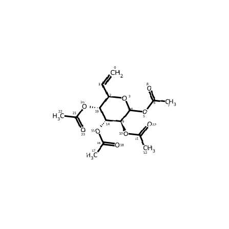 C=CC1OC(OC(C)=O)[C@@H](OC(C)=O)[C@H](OC(C)=O)[C@@H]1OC(C)=O